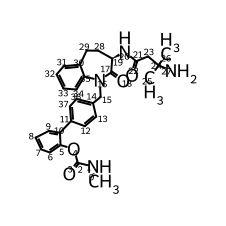 CNC(=O)Oc1ccccc1-c1ccc(CN2C(=O)[C@H](NC(=O)CC(C)(C)N)CCc3ccccc32)cc1